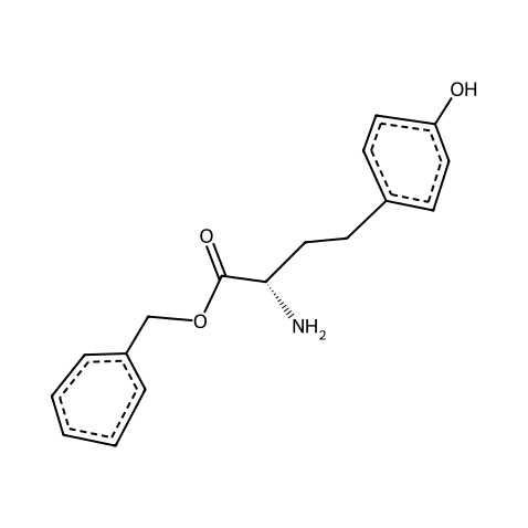 N[C@@H](CCc1ccc(O)cc1)C(=O)OCc1ccccc1